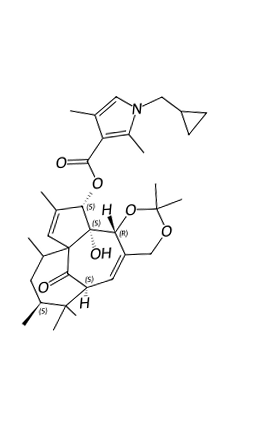 CC1=CC23C(=O)[C@@H](C=C4COC(C)(C)O[C@H]4[C@]2(O)[C@H]1OC(=O)c1c(C)cn(CC2CC2)c1C)C(C)(C)[C@@H](C)CC3C